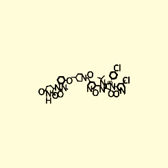 COc1ncc(C(=O)N2CCC(COc3cccc4c3n(C)c(=O)n4C3CCC(=O)NC3=O)CC2)cc1-c1nc2c(n1C(C)C)[C@H](c1ccc(Cl)cc1)N(c1cc(Cl)cn(C)c1=O)C2=O